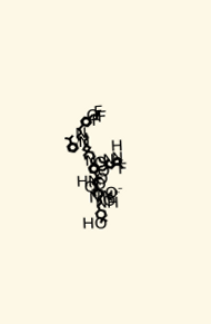 COc1nc2[nH]cc(F)c2cc1Oc1cc(N2CCC3(CC2)CC(N2CCN(Cc4ccc(OC(F)(F)F)cc4)C[C@H]2c2ccccc2C(C)C)C3)ccc1C(=O)NS(=O)(=O)c1cnc(NCC2CCC(C)(O)CC2)c([N+](=O)[O-])c1